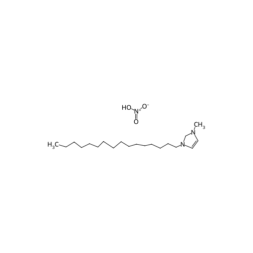 CCCCCCCCCCCCCCCCN1C=CN(C)C1.O=[N+]([O-])O